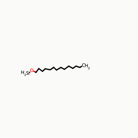 CCCCCCCCCCCCCCO[SiH3]